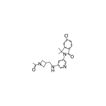 CC(=O)N1CC(CNc2cncc(N3C(=O)c4ccc(Cl)cc4C3(C)C)c2)C1